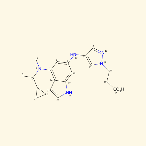 CC(C1CC1)N(C)c1cc(Nc2cnn(CCC(=O)O)c2)cc2[nH]ccc12